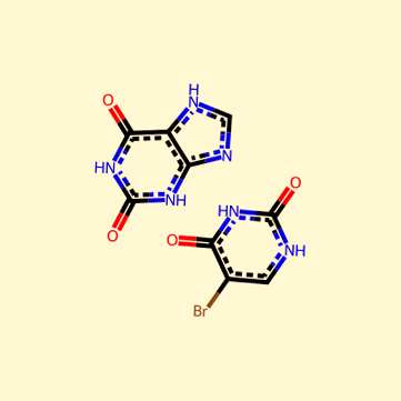 O=c1[nH]c(=O)c2[nH]cnc2[nH]1.O=c1[nH]cc(Br)c(=O)[nH]1